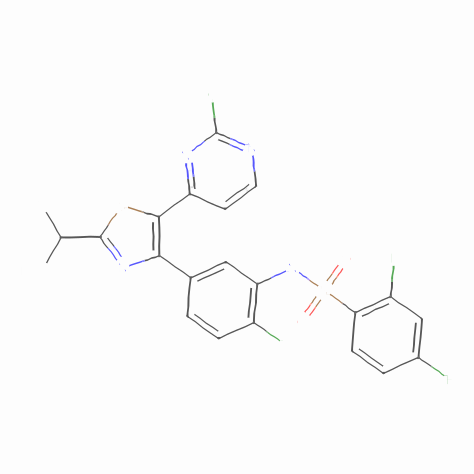 CC(C)c1nc(-c2ccc(F)c(NS(=O)(=O)c3ccc(F)cc3F)c2)c(-c2ccnc(Cl)n2)s1